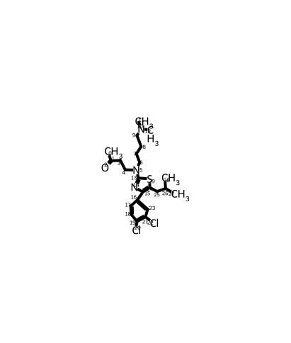 CC(=O)CCN(CCCCN(C)C)c1nc(-c2ccc(Cl)c(Cl)c2)c(CC(C)C)s1